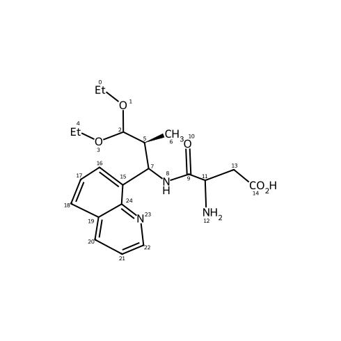 CCOC(OCC)[C@@H](C)C(NC(=O)C(N)CC(=O)O)c1cccc2cccnc12